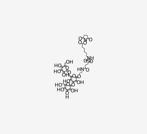 O=C(CCS(=O)(=O)NCCCCCC(=O)ON1C(=O)CCC1=O)NCCO[C@@H]1O[C@H](CO[C@H]2O[C@H](CO)[C@@H](O)[C@H](O)[C@@H]2O)[C@@H](O)[C@H](O[C@H]2O[C@H](CO)[C@@H](O)[C@H](O)[C@@H]2O)[C@@H]1O